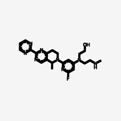 CNCCN(CCO)c1cc(F)nc(N2CCc3nc(-c4ncccn4)ncc3C2C)c1